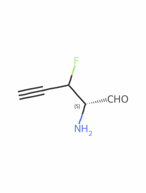 C#CC(F)[C@@H](N)C=O